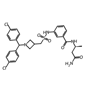 C[C@@H](CC(N)=O)NC(=O)c1cccc(NS(=O)(=O)CC2CN(C(c3ccc(Cl)cc3)c3ccc(Cl)cc3)C2)c1